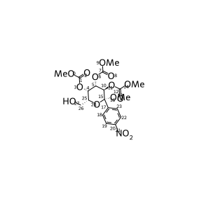 COC(=O)O[C@@H]1[C@H](OC(=O)OC)[C@@H](OC(=O)OC)[C@@](OC)(c2ccc([N+](=O)[O-])cc2)O[C@@H]1CO